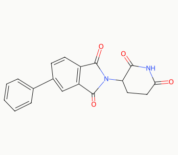 O=C1CCC(N2C(=O)c3ccc(-c4ccccc4)cc3C2=O)C(=O)N1